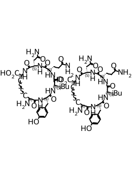 CC[C@H](C)[C@@H]1NC(=O)[C@H](Cc2ccc(O)cc2)NC(=O)[C@@H](N)CSSC[C@@H](C(=O)O)NC(=O)[C@H](CC(N)=O)NC(=O)[C@H](CCC(N)=O)NC1=O.CC[C@H](C)[C@@H]1NC(=O)[C@H](Cc2ccc(O)cc2)NC(=O)[C@@H](N)CSSC[C@@H](C(=O)O)NC(=O)[C@H](CC(N)=O)NC(=O)[C@H](CCC(N)=O)NC1=O